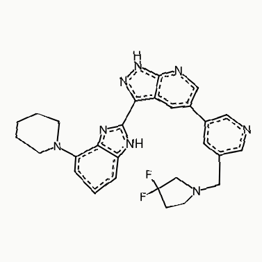 FC1(F)CCN(Cc2cncc(-c3cnc4[nH]nc(-c5nc6c(N7CCCCC7)cccc6[nH]5)c4c3)c2)C1